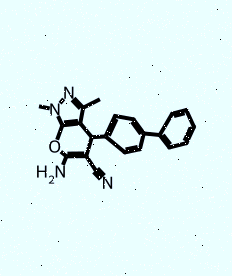 Cc1nn(C)c2c1C(c1ccc(-c3ccccc3)cc1)C(C#N)=C(N)O2